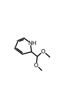 COC(OC)C1C=C[C]=CN1